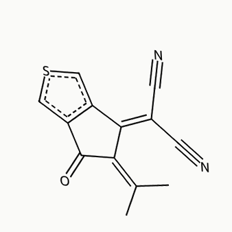 CC(C)=C1C(=O)c2cscc2C1=C(C#N)C#N